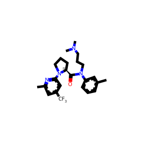 Cc1cccc(N(CCCN(C)C)C(=O)[C@@H]2CCCN2c2cc(C(F)(F)F)cc(C)n2)c1